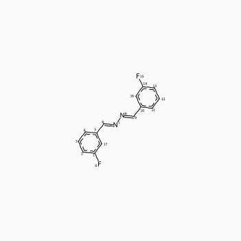 Fc1cccc(C=NN=Cc2cccc(F)c2)c1